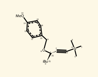 CC[C@H](C)[C@@H](C#C[Si](C)(C)C)OCc1ccc(OC)cc1